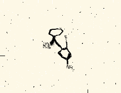 Nc1ccc(C2(O)CCSCC2)c(F)c1